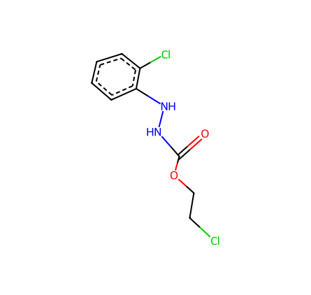 O=C(NNc1ccccc1Cl)OCCCl